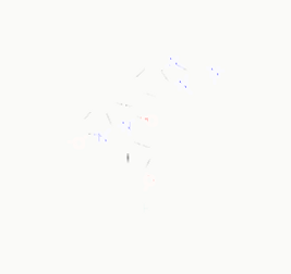 CCOc1ccc2cc(-c3ccc4nc(CN(C)C)n(C)c4c3)c(=O)n(-c3ccc(OC(F)F)cc3)c2n1